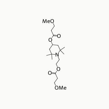 COCCC(=O)OCCN1C(C)(C)CC(OC(=O)CCOC)CC1(C)C